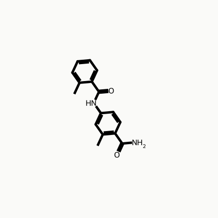 Cc1cc(NC(=O)c2ccccc2C)ccc1C(N)=O